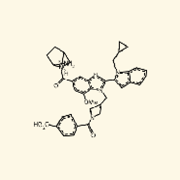 COc1cc(C(=O)N2CC3CCC2[C@@H]3N)cc2nc(-c3cc4ccccc4n3CC3CC3)n(CC3CN(C(=O)c4ccc(C(=O)O)cc4)C3)c12